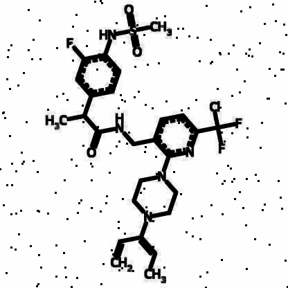 C=CC(=CC)N1CCN(c2nc(C(F)(F)Cl)ccc2CNC(=O)C(C)c2ccc(NS(C)(=O)=O)c(F)c2)CC1